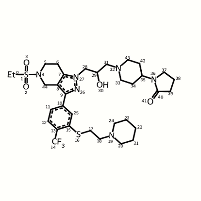 CCS(=O)(=O)N1CCc2c(c(-c3ccc(C(F)(F)F)c(SCCN4CCCCC4)c3)nn2CC(O)CN2CCC(N3CCCC3=O)CC2)C1